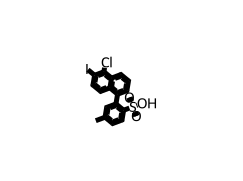 Cc1ccc(S(=O)(=O)O)c(-c2cccc3c(Cl)c(I)ccc23)c1